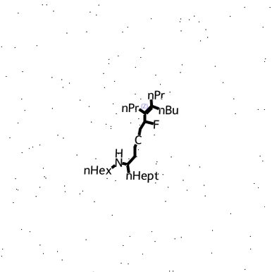 CCCCCCCC(CCCCC(F)/C(CCC)=C(/CCC)CCCC)NCCCCCC